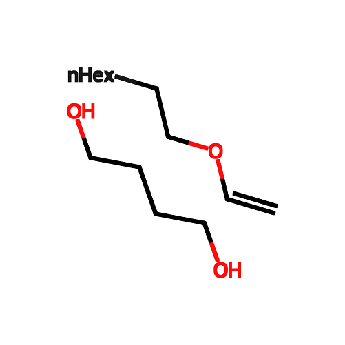 C=COCCCCCCCC.OCCCCO